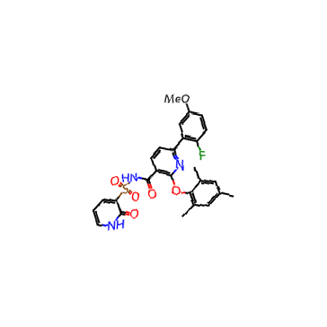 COc1ccc(F)c(-c2ccc(C(=O)NS(=O)(=O)c3ccc[nH]c3=O)c(Oc3c(C)cc(C)cc3C)n2)c1